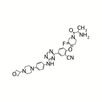 CC(N)C(=O)N1CC[C@H](Oc2ccc(-c3ncnc(Nc4ccc(N5CCN(C6COC6)CC5)cc4)n3)cc2C#N)[C@H](F)C1